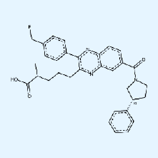 CC(CCCc1nc2cc(C(=O)N3CC[C@H](c4ccccc4)C3)ccc2nc1-c1ccc(CF)cc1)C(=O)O